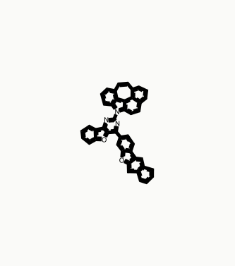 C1=Cc2cccc3c2c2c4c1cccc4ccc2n3-c1nc(-c2ccc3c(c2)oc2cc4ccccc4cc23)c2oc3ccccc3c2n1